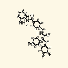 Nc1ccccc1NC(=O)c1ccc(CNC(=O)/C(=C/c2ccc(F)c(F)c2)c2ccc(F)cc2)cc1